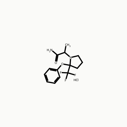 CC(C(N)=O)N1CCCC1(Oc1ccccc1)C(F)(F)F.Cl